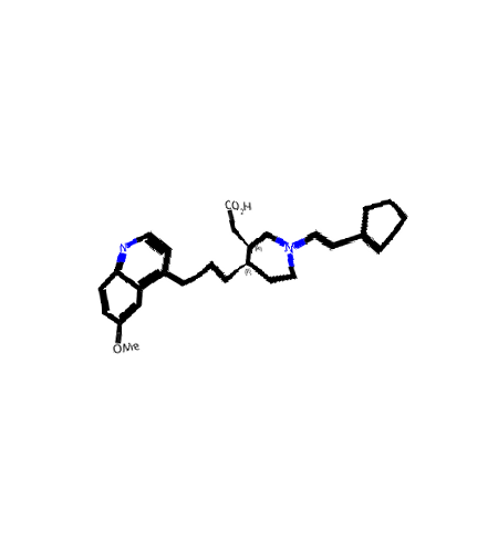 COc1ccc2nccc(CCC[C@@H]3CCN(CCC4CCCC4)C[C@@H]3CC(=O)O)c2c1